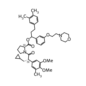 COc1cc([C@H](CC2CC2)C(=O)N2CCC[C@H]2C(=O)OC(CCc2ccc(C)c(C)c2)c2cccc(OCCN3CCOCC3)c2)cc(C)c1OC